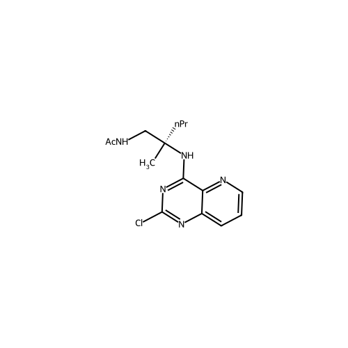 CCC[C@](C)(CNC(C)=O)Nc1nc(Cl)nc2cccnc12